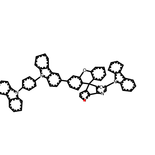 c1ccc2c(c1)Oc1cc(-c3ccc4c(c3)c3ccccc3n4-c3ccc(-n4c5ccccc5c5ccccc54)cc3)ccc1C21c2cccnc2-c2ncc(-n3c4ccccc4c4ccccc43)cc21